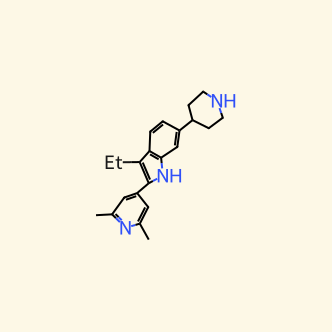 CCc1c(-c2cc(C)nc(C)c2)[nH]c2cc(C3CCNCC3)ccc12